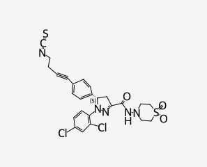 O=C(NN1CCS(=O)(=O)CC1)C1=NN(c2ccc(Cl)cc2Cl)[C@H](c2ccc(C#CCCN=C=S)cc2)C1